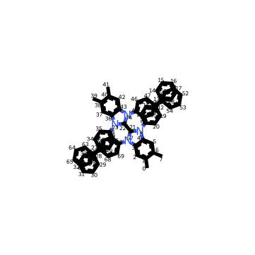 Cc1cc2c(cc1C)N(c1ccc(-c3ccccc3)cc1)C(C1N(c3ccc(-c4ccccc4)cc3)c3cc(C)c(C)cc3N1c1ccc(-c3ccccc3)cc1)N2c1ccc(-c2ccccc2)cc1